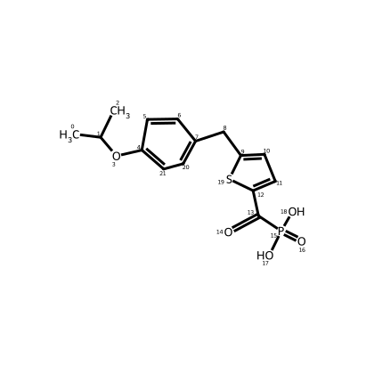 CC(C)Oc1ccc(Cc2ccc(C(=O)P(=O)(O)O)s2)cc1